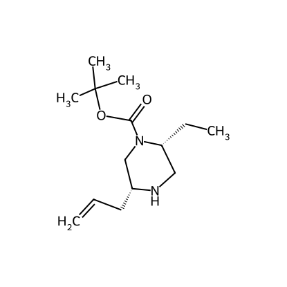 C=CC[C@@H]1CN(C(=O)OC(C)(C)C)[C@H](CC)CN1